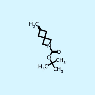 C=C1CC2(C1)CN(C(=O)OC(C)(C)C)C2